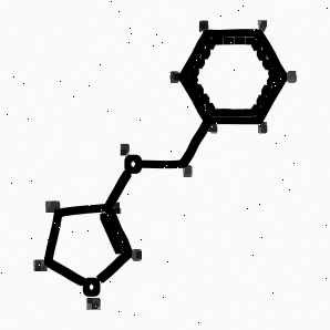 C1=C(OCc2ccccc2)CCO1